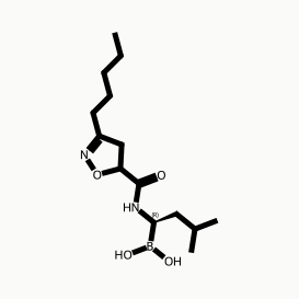 CCCCCC1=NOC(C(=O)N[C@@H](CC(C)C)B(O)O)C1